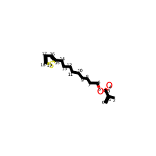 C=C(C)C(=O)OCCCCCCCCCc1cccs1